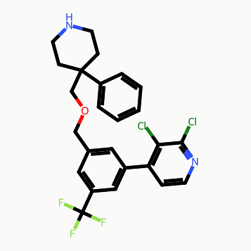 FC(F)(F)c1cc(COCC2(c3ccccc3)CCNCC2)cc(-c2ccnc(Cl)c2Cl)c1